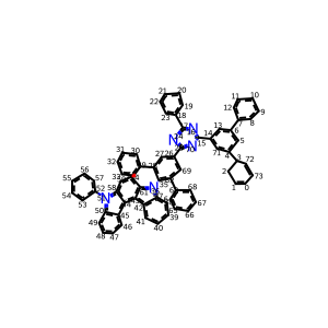 C1=CCC(c2cc(-c3ccccc3)cc(-c3nc(-c4ccccc4)nc(-c4cc(-c5ccccc5)c(-n5c6ccccc6c6c7c8ccccc8n(-c8ccccc8)c7ccc65)c(-c5ccccc5)c4)n3)c2)C=C1